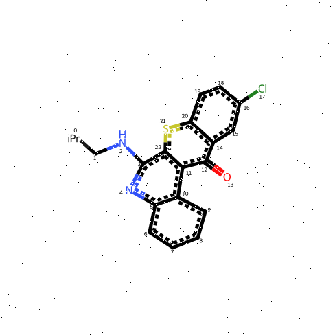 CC(C)CNc1nc2ccccc2c2c(=O)c3cc(Cl)ccc3sc12